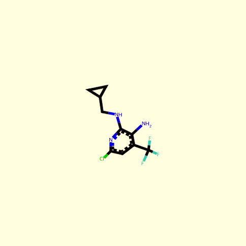 Nc1c(C(F)(F)F)cc(Cl)nc1NCC1CC1